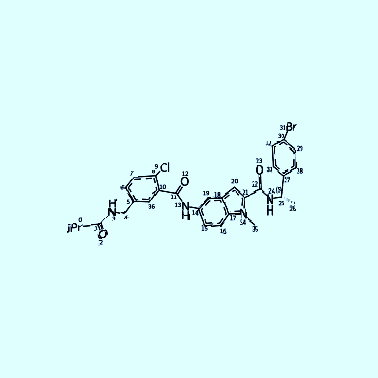 CC(C)C(=O)NCc1ccc(Cl)c(C(=O)Nc2ccc3c(c2)cc(C(=O)N[C@@H](C)c2ccc(Br)cc2)n3C)c1